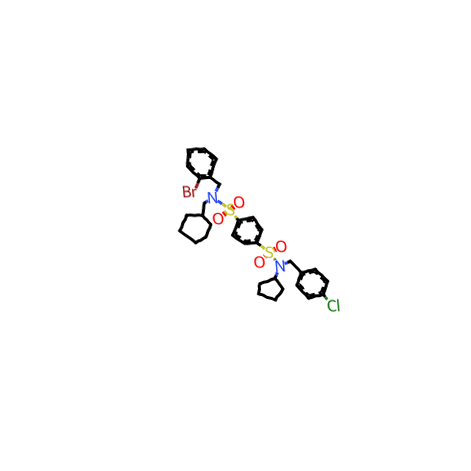 O=S(=O)(c1ccc(S(=O)(=O)N(Cc2ccc(Cl)cc2)C2CCCC2)cc1)N(Cc1ccccc1Br)CC1CCCCC1